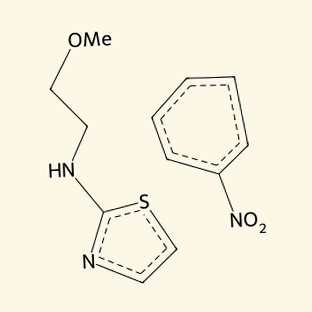 COCCNc1nccs1.O=[N+]([O-])c1ccccc1